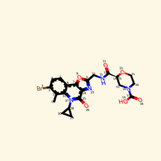 Cc1c(Br)ccc2c3oc(CNC(=O)[C@@H]4CN(C(=O)O)CCO4)nc3c(=O)n(C3CC3)c12